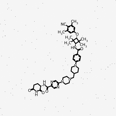 Cc1cc(O[C@H]2C(C)(C)[C@H](NC(=O)c3ccc(N4CCC(CN5CCN(c6cnc(C(=O)N[C@H]7CCC(=O)NC7=O)cn6)CC5)CC4)cc3)C2(C)C)cc(C)c1C#N